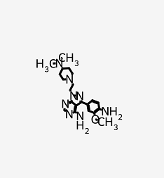 COc1cc(-c2nn(CCN3CCC(N(C)C)CC3)c3ncnc(N)c23)ccc1N